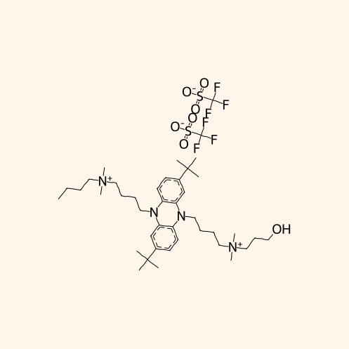 CCCC[N+](C)(C)CCCCN1c2cc(C(C)(C)C)ccc2N(CCCC[N+](C)(C)CCCO)c2cc(C(C)(C)C)ccc21.O=S(=O)([O-])C(F)(F)F.O=S(=O)([O-])C(F)(F)F